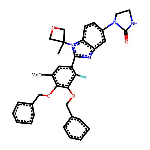 COc1cc(-c2nc3cc(N4CCNC4=O)ccc3n2C2(C)COC2)c(F)c(OCc2ccccc2)c1OCc1ccccc1